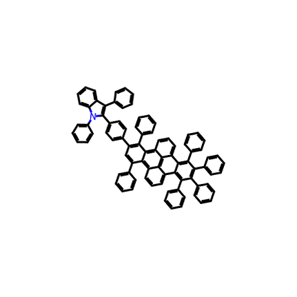 c1ccc(-c2c(-c3ccccc3)c(-c3ccccc3)c3c4cccc5c6c(-c7ccccc7)c(-c7ccc(-c8c(-c9ccccc9)c9ccccc9n8-c8ccccc8)cc7)cc(-c7ccccc7)c6c6cccc(c3c2-c2ccccc2)c6c54)cc1